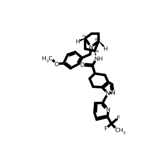 COc1ccc(CN2[C@H]3CC[C@@H]2[C@H](NC(=O)C2CCc4c(cnn4-c4cccc(C(C)(F)F)n4)C2)C3)cc1